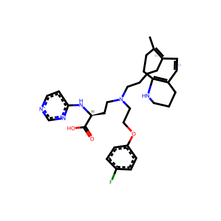 C/C1=C(CCCCN(CCOc2ccc(F)cc2)CC[C@H](Nc2ccncn2)C(=O)O)\C=C/C2=C(CC1)NCCC2